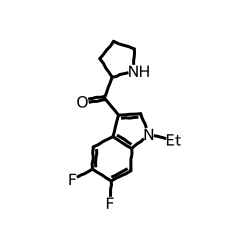 CCn1cc(C(=O)C2CCCN2)c2cc(F)c(F)cc21